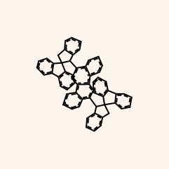 c1ccc2c(c1)CC1(c3ccccc3-c3ccccc31)C2c1cc2c3ccccc3c(C3c4ccccc4CC34c3ccccc3-c3ccccc34)cc2c2ccccc12